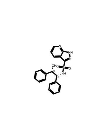 O=S(=O)(N[C@H](c1ccccc1)[C@@H](O)c1ccccc1)c1n[nH]c2ncccc12